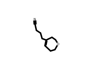 N#CCCCC1=CCCOCC1